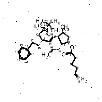 C=CCCCC(=O)O[C@H]1C[C@@H](C)[C@H](/C=C/[C@H](CCc2ccccc2)O[Si](C)(C)C(C)(C)C)[C@H]1CC=C